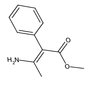 COC(=O)C(=C(C)N)c1ccccc1